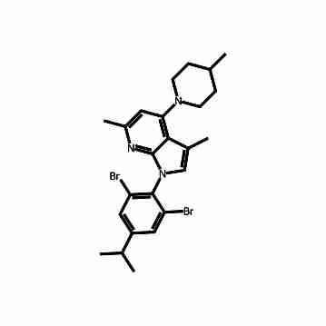 Cc1cc(N2CCC(C)CC2)c2c(C)cn(-c3c(Br)cc(C(C)C)cc3Br)c2n1